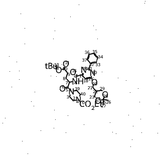 CCOC(=O)N1CCN(C(=O)C(CCC(=O)OC(C)(C)C)NC(=O)c2cc(OCC3COC(C)(C)OC3)nc(-c3ccccc3)n2)CC1